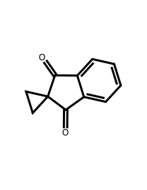 O=C1c2ccccc2C(=O)C12CC2